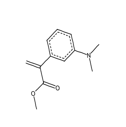 C=C(C(=O)OC)c1cccc(N(C)C)c1